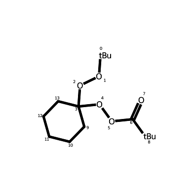 CC(C)(C)OOC1(OOC(=O)C(C)(C)C)CCCCC1